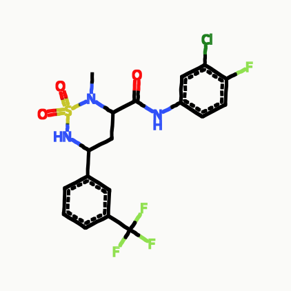 CN1C(C(=O)Nc2ccc(F)c(Cl)c2)CC(c2cccc(C(F)(F)F)c2)NS1(=O)=O